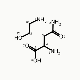 NC(=O)CC(N)C(=O)O.NCCO